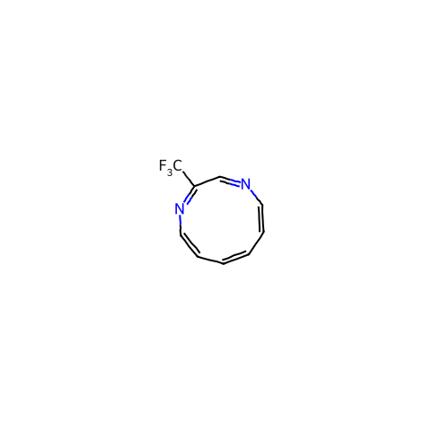 FC(F)(F)c1cnccccccn1